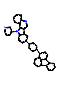 c1cncc(-n2c3ccc(-c4ccc(-c5ccc6c7c(cccc57)-c5ccccc5-6)cc4)cc3c3cnc4ccccc4c32)c1